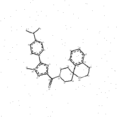 CC(C)c1ccc(-c2nc(C(=O)N3CCC4(CC3)OCCc3ccccc34)nn2C)cc1